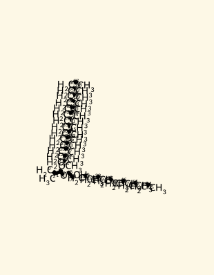 C=C(C)C(=O)OCCO.C=CC.C=CC.C=CC.C=CC.C=CC.C=CC.C=CC.C=CC.C=CC.C=CC.C=CC.C=CC.C=CC.C=CC.C=CC.C=CC.C=CC.C=CC.C=CC.C=CC